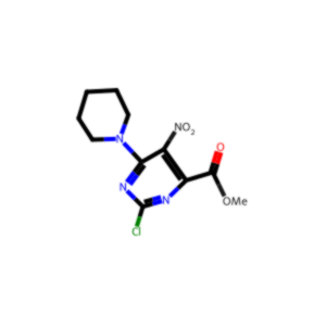 COC(=O)c1nc(Cl)nc(N2CCCCC2)c1[N+](=O)[O-]